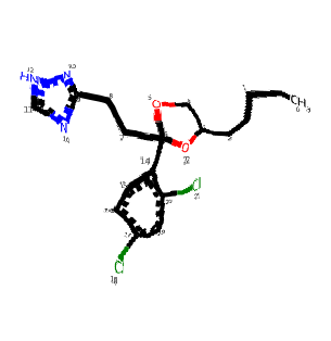 CCCC1COC(CCc2nc[nH]n2)(c2ccc(Cl)cc2Cl)O1